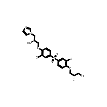 C[C@@H](CCl)COc1ccc(S(=O)(=O)c2ccc(OC[C@@H](O)Cn3ccnc3)c(Cl)c2)cc1Cl